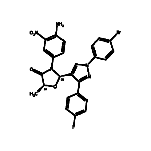 C[C@@H]1O[C@H](c2cn(-c3ccc(Br)cc3)nc2-c2ccc(F)cc2)N(c2ccc(N)c([N+](=O)[O-])c2)C1=O